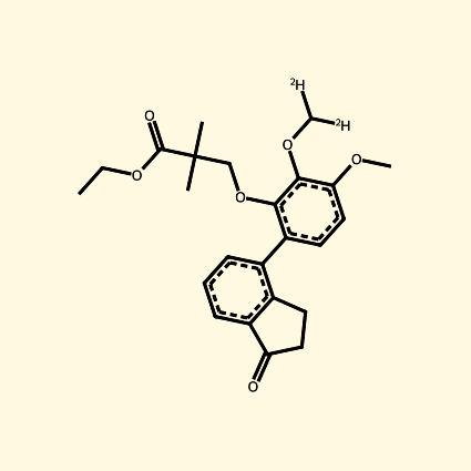 [2H]C([2H])Oc1c(OC)ccc(-c2cccc3c2CCC3=O)c1OCC(C)(C)C(=O)OCC